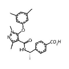 Cc1cc(C)cc(Oc2c(C(=O)N[C@@H](C)c3ccc(C(=O)O)cc3)c(C)nn2C)c1